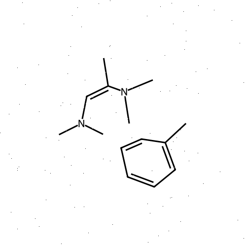 CC(=CN(C)C)N(C)C.Cc1ccccc1